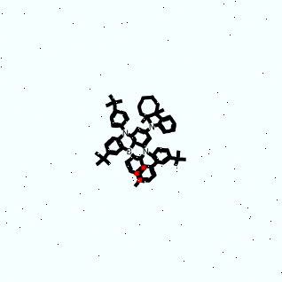 CC(C)c1ccc2c(c1)N(c1ccc(C(C)(C)C)cc1C1=CC=C=C=C1)c1cc(N3c4ccccc4C4(C)CCCCCC34C)cc3c1B2c1cc(C(C)(C)C)ccc1N3c1ccc(C(C)(C)C)cc1